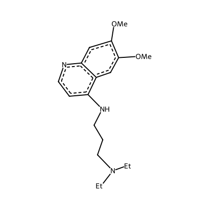 CCN(CC)CCCNc1ccnc2cc(OC)c(OC)cc12